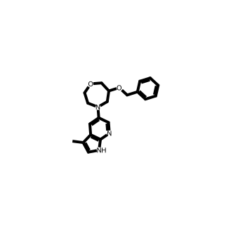 Cc1c[nH]c2ncc(N3CCOCC(OCc4ccccc4)C3)cc12